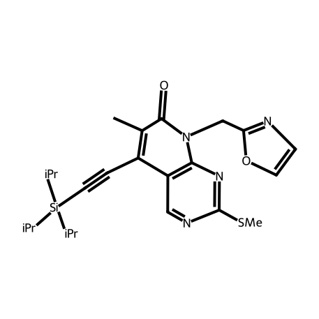 CSc1ncc2c(C#C[Si](C(C)C)(C(C)C)C(C)C)c(C)c(=O)n(Cc3ncco3)c2n1